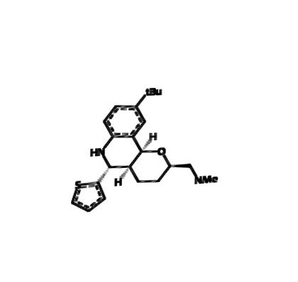 CNC[C@H]1CC[C@@H]2[C@H](O1)c1cc(C(C)(C)C)ccc1N[C@H]2c1cccs1